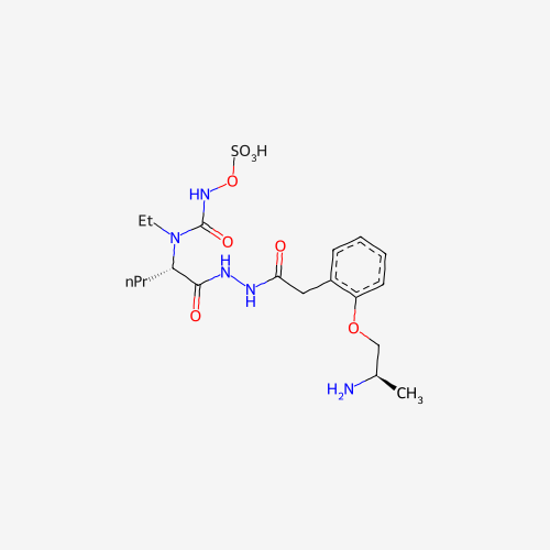 CCC[C@@H](C(=O)NNC(=O)Cc1ccccc1OC[C@@H](C)N)N(CC)C(=O)NOS(=O)(=O)O